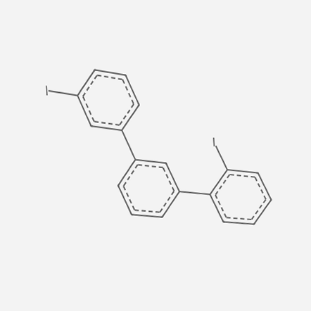 Ic1cccc(-c2cccc(-c3ccccc3I)c2)c1